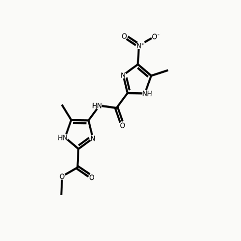 COC(=O)c1nc(NC(=O)c2nc([N+](=O)[O-])c(C)[nH]2)c(C)[nH]1